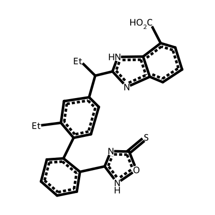 CCc1cc(C(CC)c2nc3cccc(C(=O)O)c3[nH]2)ccc1-c1ccccc1-c1nc(=S)o[nH]1